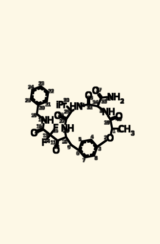 CC1Oc2ccc(cc2)CC(C(=O)C(F)(F)C(=O)NCc2ccccc2)NC(=O)C(C(C)C)NC(=O)C(C(N)=O)NC1=O